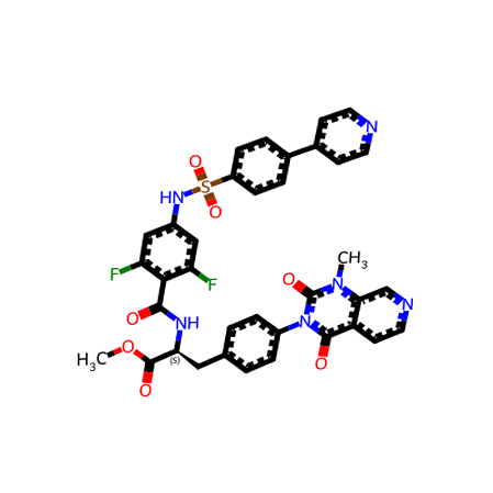 COC(=O)[C@H](Cc1ccc(-n2c(=O)c3ccncc3n(C)c2=O)cc1)NC(=O)c1c(F)cc(NS(=O)(=O)c2ccc(-c3ccncc3)cc2)cc1F